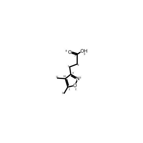 Cc1onc(CCC(=O)O)c1C